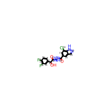 O=C(NNC(=O)C(O)c1ccc(F)c(F)c1)c1cc(Cl)c2[nH]ncc2c1